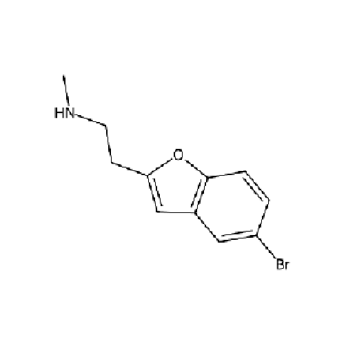 CNCCc1cc2cc(Br)ccc2o1